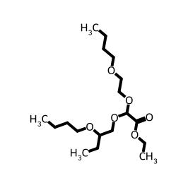 CCCCOCCOC(OCC(CC)OCCCC)C(=O)OCC